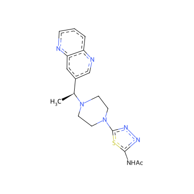 CC(=O)Nc1nnc(N2CCN([C@@H](C)c3cnc4cccnc4c3)CC2)s1